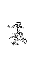 COc1cccc2[nH]c(C(=O)N[C@@H](CC(C)C)C(=O)N[C@@H](C[C@@H]3CCNC3=O)C(C#N)N3Cc4ccccc4C3)cc12